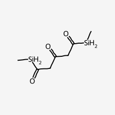 C[SiH2]C(=O)CC(=O)CC(=O)[SiH2]C